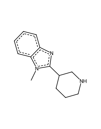 Cn1c(C2CCCNC2)nc2ccccc21